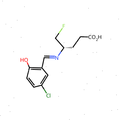 O=C(O)CC[C@@H](CF)/N=C/c1cc(Cl)ccc1O